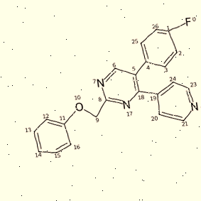 Fc1ccc(-c2cnc(COc3ccccc3)nc2-c2ccncc2)cc1